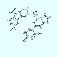 O=C1N(CC2(F)CC2)c2cc(C3C[C@@H]3c3cc(-c4c[nH]c(=O)[nH]c4=O)nn4ccnc34)ccc2C12CC2